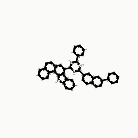 c1ccc(-c2ccc3ccc(-c4nc(-c5ccccc5)nc(-c5cc6ccc7ccccc7c6c6oc7ccccc7c56)n4)cc3c2)cc1